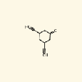 C#CC1CC(=O)CC(C#C)C1